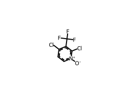 [O-][n+]1ccc(Cl)c(C(F)(F)F)c1Cl